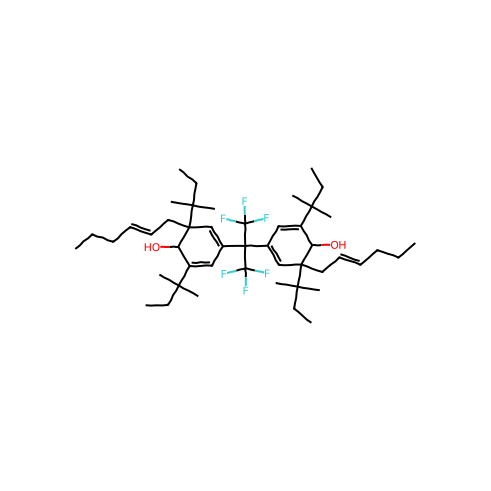 CCCC=CCC1(C(C)(C)CC)C=C(C(C2=CC(CC=CCCC)(C(C)(C)CC)C(O)C(C(C)(C)CC)=C2)(C(F)(F)F)C(F)(F)F)C=C(C(C)(C)CC)C1O